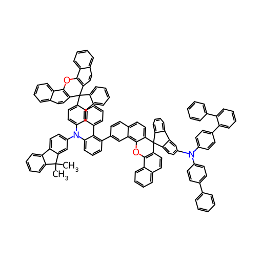 CC1(C)c2ccccc2-c2ccc(N(c3ccc4c(c3)-c3ccccc3C43c4ccc5ccccc5c4Oc4c3ccc3ccccc43)c3cccc(-c4ccc5ccc6c(c5c4)Oc4c(ccc5ccccc45)C64c5ccccc5-c5cc(N(c6ccc(-c7ccccc7)cc6)c6ccc(-c7ccccc7-c7ccccc7)cc6)ccc54)c3-c3ccccc3)cc21